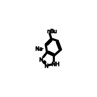 CCCCc1ccc2[nH]nnc2c1.[Na]